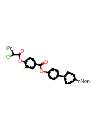 CCCCCCCCCc1ccc(-c2ccc(OC(=O)c3ccc(OC(=O)C(Cl)C(C)C)c(F)c3)cc2)cc1